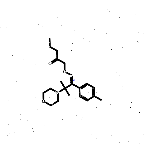 CCCC(=O)CO/N=C(/c1ccc(C)cc1)C(C)(C)N1CCOCC1